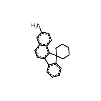 Nc1ccc2c3c(ccc2c1)-c1ccccc1C31CCCCC1